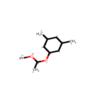 CC1CC(C)CC(OC(C)OC(C)C)C1